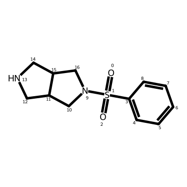 O=S(=O)(c1ccccc1)N1CC2CNCC2C1